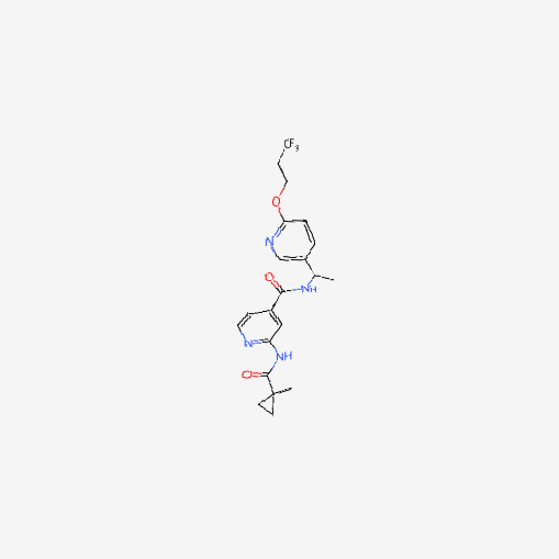 CC(NC(=O)c1ccnc(NC(=O)C2(C)CC2)c1)c1ccc(OCCC(F)(F)F)nc1